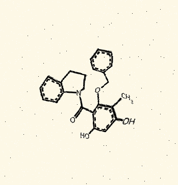 Cc1c(O)cc(O)c(C(=O)N2CCCc3ccccc32)c1OCc1ccccc1